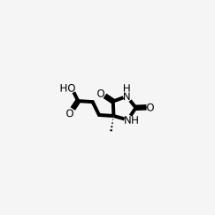 C[C@@]1(CCC(=O)O)NC(=O)NC1=O